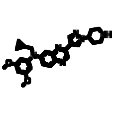 COc1cc(OC)cc(N(CC2CC2)c2ccc3ncc(-c4cnn(C5CCNCC5)c4)nc3c2)c1